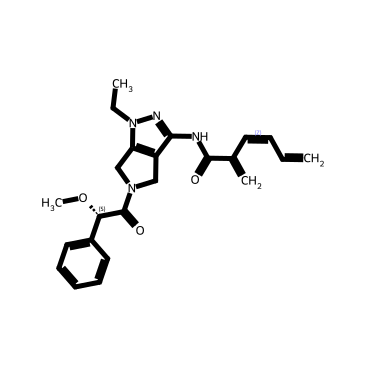 C=C/C=C\C(=C)C(=O)Nc1nn(CC)c2c1CN(C(=O)[C@@H](OC)c1ccccc1)C2